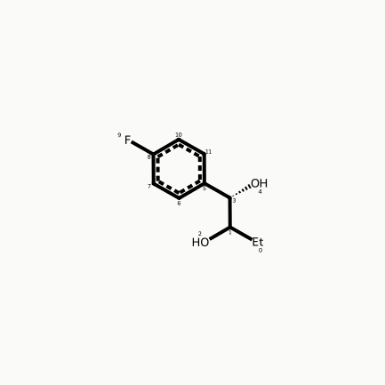 CCC(O)[C@@H](O)c1ccc(F)cc1